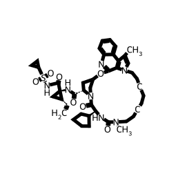 C=C[C@@H]1C[C@]1(NC(=O)[C@@H]1CC2CN1C(=O)[C@H](C1CCCC1)NC(=O)N(C)CCCCCCCCn1cc(C)c3c4ccccc4nc(c31)O2)C(=O)NS(=O)(=O)C1CC1